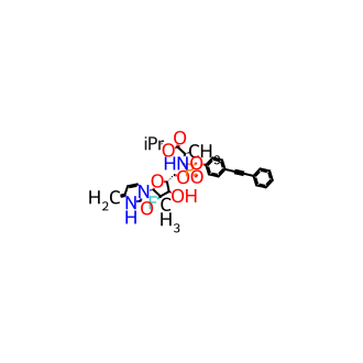 C=C1C=CN([C@@H]2O[C@H](COP(=O)(N[C@@H](C)C(=O)OC(C)C)Oc3ccc(C#Cc4ccccc4)cc3)[C@@H](O)[C@@]2(C)F)C(=O)N1